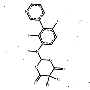 CCN(c1ccc(F)c(-c2cccnc2)c1F)C1OC(=O)C(CC)(CC)C(=O)O1